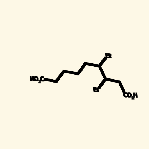 CCC(CCCCC(=O)O)C(CC)CC(=O)O